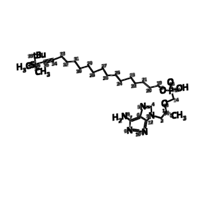 C[C@H](Cn1cnc2c(N)ncnc21)OCP(=O)(O)OCCCCCCCCCCCCCCCC#C[Si](C)(C)C(C)(C)C